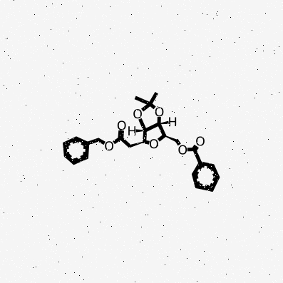 CC1(C)O[C@@H]2[C@H](O1)[C@@H](COC(=O)c1ccccc1)O[C@H]2CC(=O)OCc1ccccc1